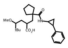 COC(CC(CC1(C(=O)NC2CC2c2ccccc2)CCCC1)C(=O)O)C(C)(C)C